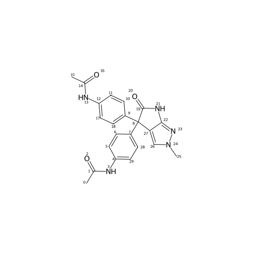 CC(=O)Nc1ccc(C2(c3ccc(NC(C)=O)cc3)C(=O)Nc3nn(C)cc32)cc1